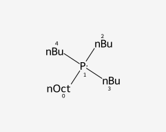 CCCCCCCC[P](CCCC)(CCCC)CCCC